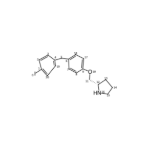 Ic1ccc(Cc2ccc(OC[C@@H]3CCCN3)cc2)cc1